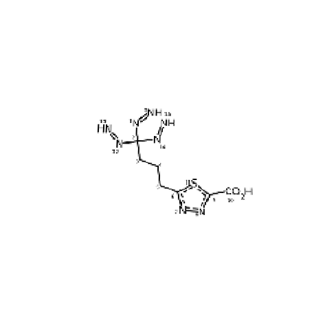 N=NC(CCCc1nnc(C(=O)O)s1)(N=N)N=N